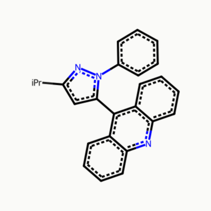 CC(C)c1cc(-c2c3ccccc3nc3ccccc23)n(-c2ccccc2)n1